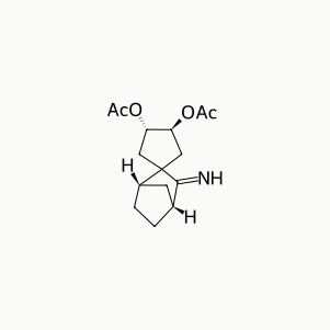 CC(=O)O[C@H]1CC2(C[C@@H]1OC(C)=O)C(=N)[C@@H]1CC[C@H]2C1